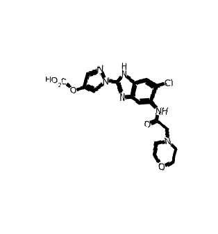 O=C(CN1CCOCC1)Nc1cc2nc(-n3cc(OC(=O)O)cn3)[nH]c2cc1Cl